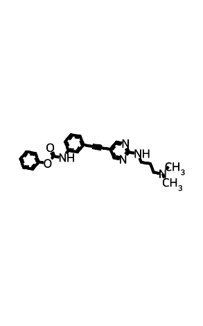 CN(C)CCCNc1ncc(C#Cc2cccc(NC(=O)Oc3ccccc3)c2)cn1